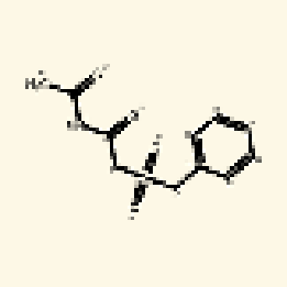 CC(=O)NC(=O)CS(=O)(=O)Cc1ccccc1